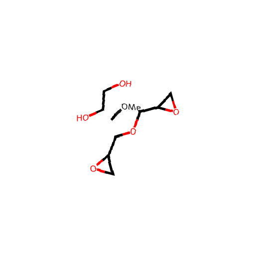 C(OCC1CO1)C1CO1.COC.OCCO